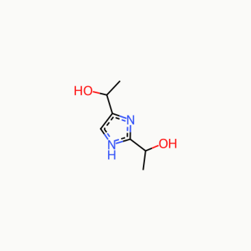 CC(O)c1c[nH]c(C(C)O)n1